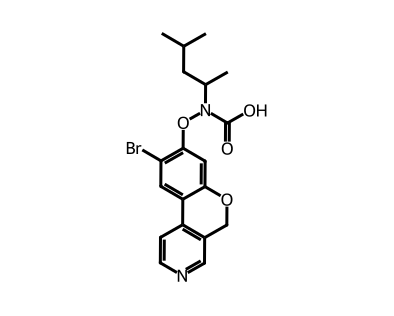 CC(C)CC(C)N(Oc1cc2c(cc1Br)-c1ccncc1CO2)C(=O)O